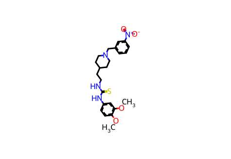 COc1ccc(NC(=S)NCCC2CCN(Cc3cccc([N+](=O)[O-])c3)CC2)cc1OC